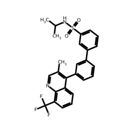 Cc1cnc2c(C(F)(F)F)cccc2c1-c1cccc(-c2cccc(S(=O)(=O)NC(C)C)c2)c1